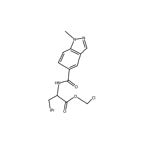 CC(C)CC(NC(=O)c1ccc2c(cnn2C)c1)C(=O)OCCl